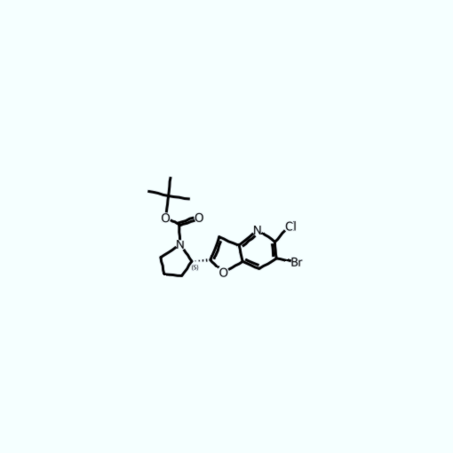 CC(C)(C)OC(=O)N1CCC[C@H]1c1cc2nc(Cl)c(Br)cc2o1